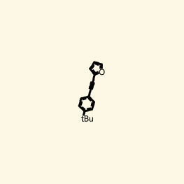 CC(C)(C)c1ccc(C#Cc2ccco2)cc1